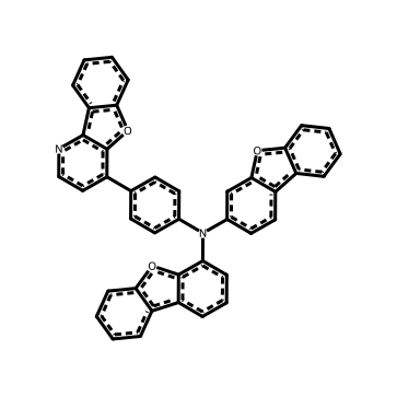 c1ccc2c(c1)oc1cc(N(c3ccc(-c4ccnc5c4oc4ccccc45)cc3)c3cccc4c3oc3ccccc34)ccc12